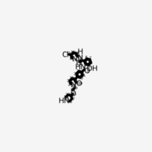 O=C(Nc1c(O)cccc1C(=O)Nc1ccc(Cl)cn1)c1ccc(-c2cccn(CCOC3CCNCC3)c2=O)cc1